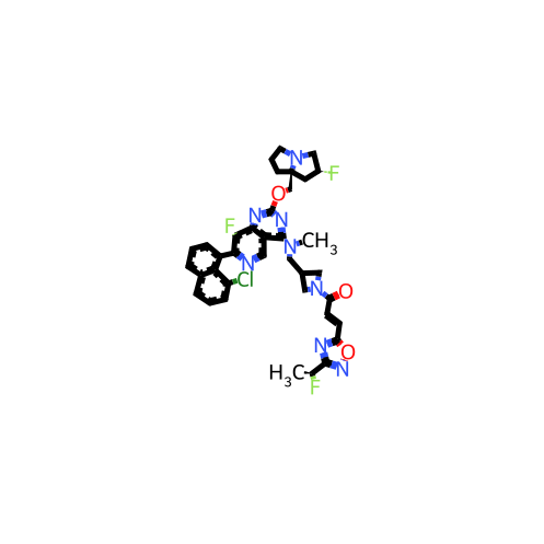 C[C@@H](F)c1noc(/C=C/C(=O)N2CC(CN(C)c3nc(OC[C@@]45CCCN4C[C@H](F)C5)nc4c(F)c(-c5cccc6cccc(Cl)c56)ncc34)C2)n1